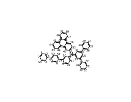 c1ccc(-c2ccc(-c3cccc(N(c4cc(-c5ccccc5)cc(-c5ccccc5)c4)c4ccc5c6ccccc6c6ccccc6c5c4)c3)cc2)cc1